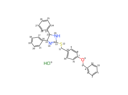 Cl.c1ccc(COc2ccc(CSC3=NC(c4ccccc4)C(c4ccccc4)N3)cc2)cc1